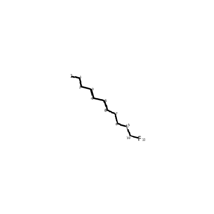 CCCCCCCCC[I]CF